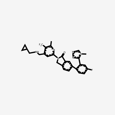 Cc1nc(N2Cc3ccc(-c4ccc(F)cc4-c4nncn4C)cc3C2=O)cc(CNCC2CC2)c1C(F)(F)F